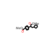 COC(=O)c1ccc(C(CC2CCCC2)C(=O)OC)cc1